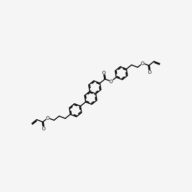 C=CC(=O)OCCCc1ccc(-c2ccc3cc(C(=O)Oc4ccc(CCOC(=O)C=C)cc4)ccc3c2)cc1